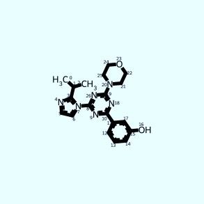 CC(C)c1nccn1-c1nc(-c2cccc(O)c2)nc(N2CCOCC2)n1